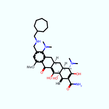 B=C1C(C(N)=O)=C(O)[C@@H](N(C)C)[C@@H]2C[C@@H]3Cc4c(c(OC)cc(CNCC5CCCCCC5)c4N(C)C)C(=O)C3=C(O)[C@]12O